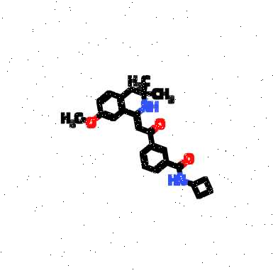 COc1ccc2c(c1)/C(=C/C(=O)c1cccc(C(=O)NC3CCC3)c1)NC(C)(C)C2